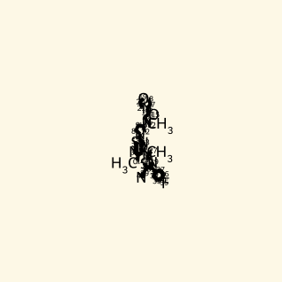 CCc1nc2sc(N3CC[C@@H](N(C)CC(=O)N4CCOCC4)C3)nn2c1N(C)c1nc(-c2ccc(F)cc2)c(C#N)s1